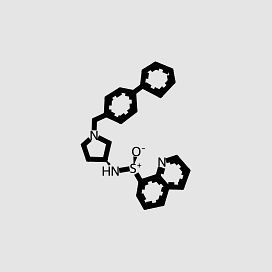 [O-][S@+](N[C@@H]1CCN(Cc2ccc(-c3ccccc3)cc2)C1)c1cccc2cccnc12